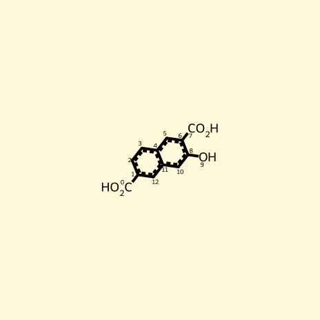 O=C(O)c1ccc2cc(C(=O)O)c(O)cc2c1